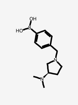 CN(C)[C@@H]1CCN(Cc2ccc(B(O)O)cc2)C1